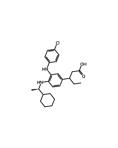 CCC(CC(=O)O)c1ccc(N[C@H](C)C2CCCCC2)c(Nc2ccc(Cl)cc2)c1